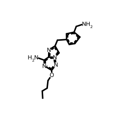 CCCCOc1nc(N)c2nc(Cc3cccc(CN)c3)cn2n1